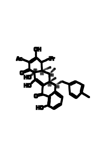 CC(=O)C1=C(O)C(C(C)C)[C@@]2(C)[C@H](C)[C@]3(C)C(=C(O)[C@@]2(O)C1=O)C(=O)c1c(O)cccc1[C@H]3Cc1ccc(C)cc1